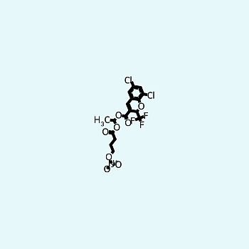 CC(OC(=O)CCCO[N+](=O)[O-])OC(=O)C1=Cc2cc(Cl)cc(Cl)c2OC1C(F)(F)F